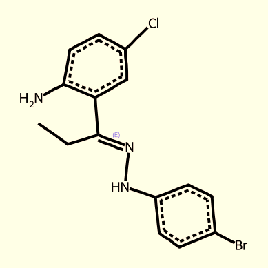 CC/C(=N\Nc1ccc(Br)cc1)c1cc(Cl)ccc1N